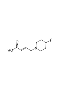 O=C(O)C=CCN1CCC(F)CC1